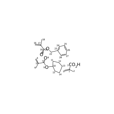 C=C(C)C(=O)O.C=C(C)C(=O)OC1CCCCC1.C=C(C)C(=O)OCc1ccccc1